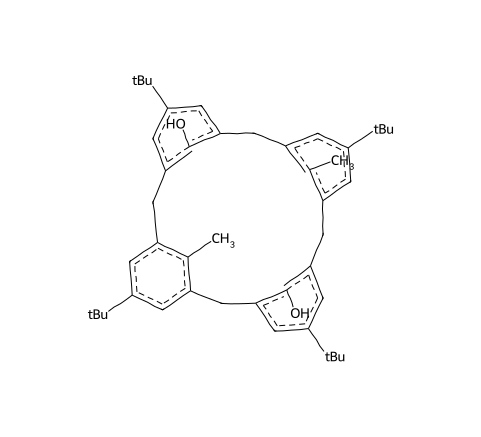 Cc1c2cc(C(C)(C)C)cc1Cc1cc(C(C)(C)C)cc(c1O)Cc1cc(C(C)(C)C)cc(c1C)Cc1cc(C(C)(C)C)cc(c1O)C2